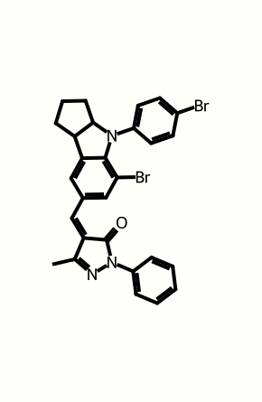 CC1=NN(c2ccccc2)C(=O)/C1=C\c1cc(Br)c2c(c1)C1CCCC1N2c1ccc(Br)cc1